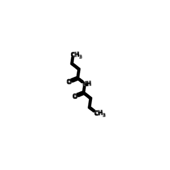 CCCC(=O)NC(=O)CCC